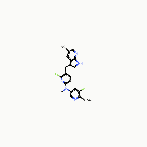 COc1ncc(N(C)c2ccc(Cc3c[nH]c4ncc(C#N)cc34)c(F)n2)cc1F